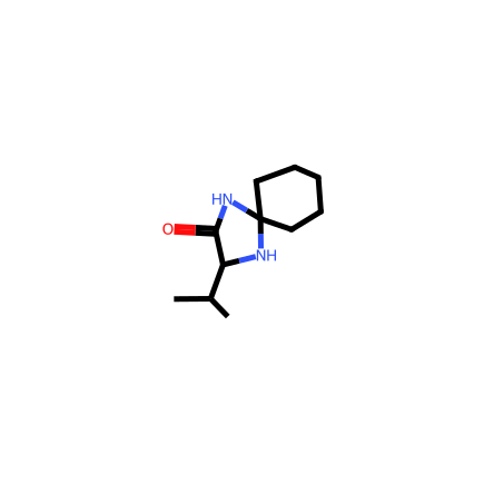 CC(C)C1NC2(CCCCC2)NC1=O